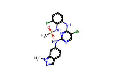 Cn1ncc2ccc(Nc3ncc(Br)c(Nc4cccc(F)c4NS(C)(=O)=O)n3)cc21